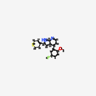 COc1ccc(F)cc1-c1ccnc2[nH]c(C3=CCSCC3)cc12